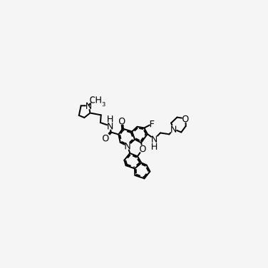 CN1CCCC1CCNC(=O)c1cn2c3c(c(NCCN4CCOCC4)c(F)cc3c1=O)Oc1c-2ccc2ccccc12